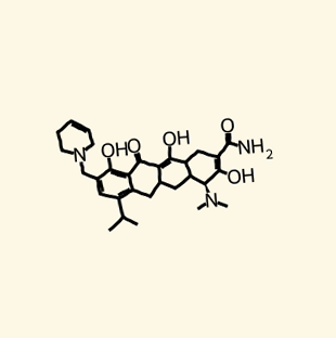 CC(C)c1cc(CN2CC=CCC2)c(O)c2c1CC1CC3C(CC(C(N)=O)=C(O)[C@H]3N(C)C)C(O)=C1C2=O